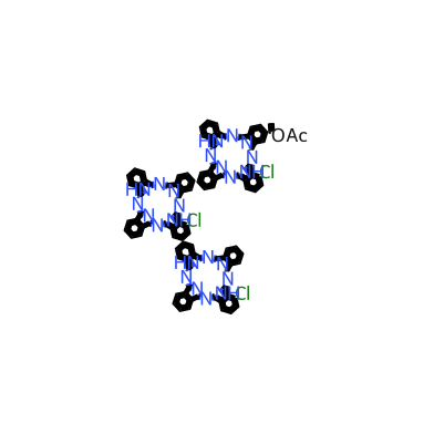 C=COC(C)=O.Clc1cccc2c3nc4nc(nc5[nH]c(nc6nc(nc([nH]3)c12)-c1ccccc1-6)c1ccccc51)-c1ccccc1-4.Clc1cccc2c3nc4nc(nc5[nH]c(nc6nc(nc([nH]3)c12)-c1ccccc1-6)c1ccccc51)-c1ccccc1-4.Clc1cccc2c3nc4nc(nc5[nH]c(nc6nc(nc([nH]3)c12)-c1ccccc1-6)c1ccccc51)-c1ccccc1-4